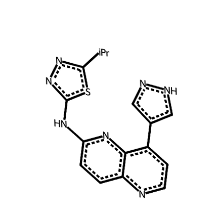 CC(C)c1nnc(Nc2ccc3nccc(-c4cn[nH]c4)c3n2)s1